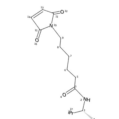 CC(=O)[C@@H](NC(=O)CCCCCN1C(=O)C=CC1=O)C(C)C